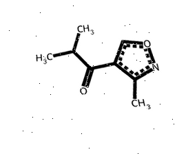 Cc1nocc1C(=O)C(C)C